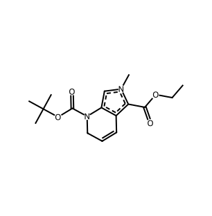 CCOC(=O)c1c2c(cn1C)N(C(=O)OC(C)(C)C)CC=C2